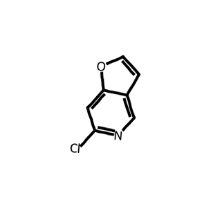 Clc1cc2occc2cn1